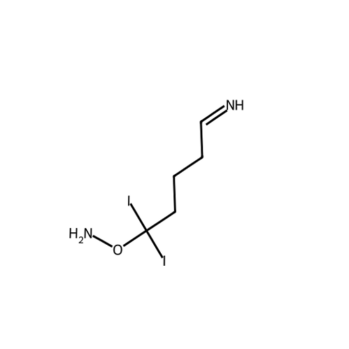 N=CCCCC(I)(I)ON